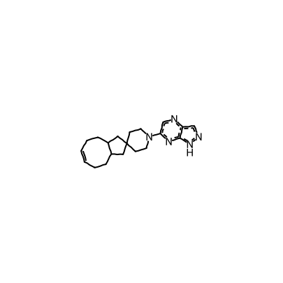 C1=C\CCC2CC3(CCN(c4cnc5cn[nH]c5n4)CC3)CC2CC/1